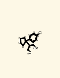 O=CC(CBr)C1(c2ccc(Cl)cc2)CCCC1